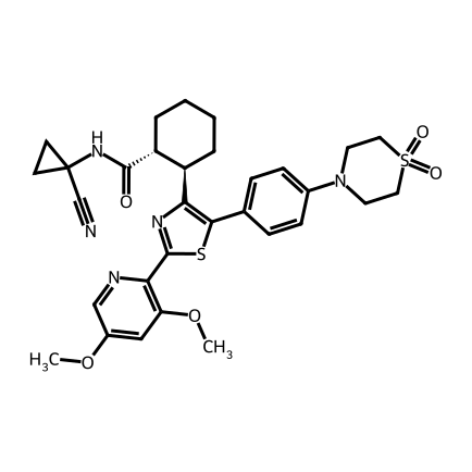 COc1cnc(-c2nc([C@@H]3CCCC[C@H]3C(=O)NC3(C#N)CC3)c(-c3ccc(N4CCS(=O)(=O)CC4)cc3)s2)c(OC)c1